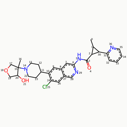 CC1C(C(=O)Nc2cc3cc(C4CCN(C5(C)COCC5O)CC4)c(Cl)cc3cn2)C1c1ccccn1